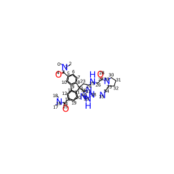 CN(C)C(=O)c1ccc2c(c1)-c1cc(C(=O)N(C)C)ccc1C2(CCNCC(=O)N1CCCC1C#N)c1nn[nH]n1